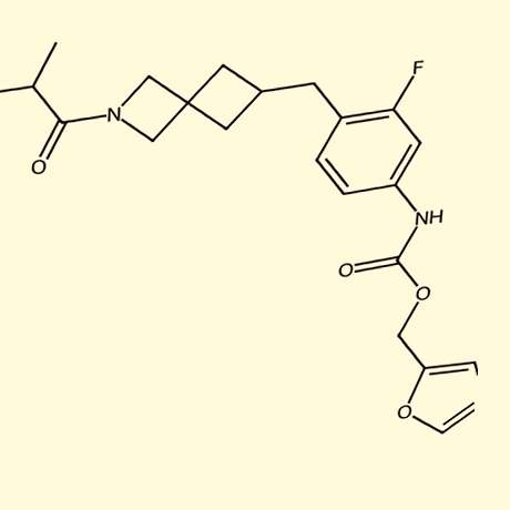 CC(C)C(=O)N1CC2(CC(Cc3ccc(NC(=O)OCc4cnco4)cc3F)C2)C1